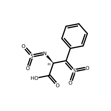 O=C(O)[C@@H](N=S(=O)=O)C(c1ccccc1)=S(=O)=O